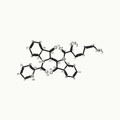 C=C(/C=C\C=C/N)C(=O)N1/C(=C2\C(=O)c3ccccc3N2C(=O)c2ccccn2)C(=O)c2ccccc21